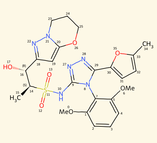 COc1cccc(OC)c1-n1c(NS(=O)(=O)[C@@H](C)[C@H](O)c2cc3n(n2)CCCO3)nnc1-c1ccc(C)o1